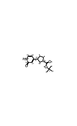 CC(C)(C)OC(=O)N1CCC(c2cc[nH]c(=O)c2)C1